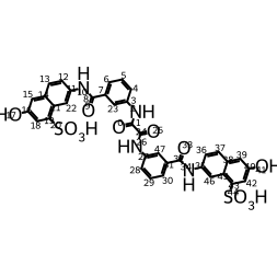 O=C(Nc1cccc(C(=O)Nc2ccc3cc(O)cc(S(=O)(=O)O)c3c2)c1)C(=O)Nc1cccc(C(=O)Nc2ccc3cc(O)cc(S(=O)(=O)O)c3c2)c1